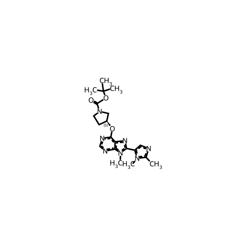 Cc1ncc(-c2nc3c(O[C@H]4CCN(C(=O)OC(C)(C)C)C4)ncnc3n2C)n1C